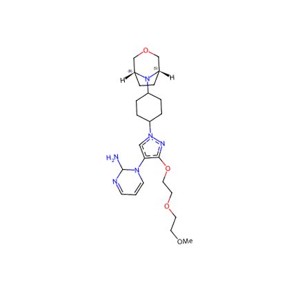 COCCOCCOc1nn(C2CCC(N3[C@@H]4CC[C@H]3COC4)CC2)cc1N1C=CC=NC1N